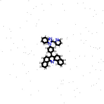 c1ccc(-c2nc3ccccc3n2-c2ccc(-c3c4ccc5ccccc5c4nc4c3ccc3ccccc34)cc2)nc1